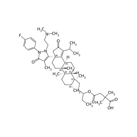 CCC(CC[C@@]1(C)[C@H](C)CC[C@]2(C)[C@@H]1CC[C@@H]1C3=C(C(C)C)C(=O)C[C@]3(c3c(C)c(=O)n(-c4ccc(F)cc4)n3CCN(C)C)CC[C@]12C)OC(=O)CC(C)(C)C(=O)O